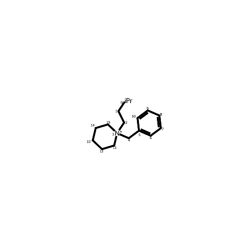 CC(C)CC[N+]1(Cc2ccccc2)CCCCC1